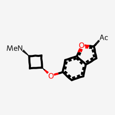 CN[C@H]1C[C@@H](Oc2ccc3cc(C(C)=O)oc3c2)C1